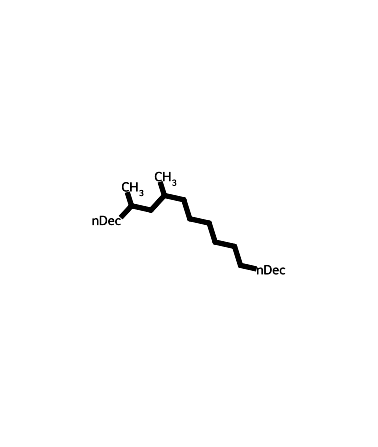 CCCCCCCCCCCCCCCCC(C)CC(C)CCCCCCCCCC